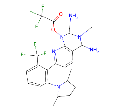 CC1CCC(C)N1c1cccc(C(F)(F)F)c1-c1ccc2c(n1)N(OC(=O)C(F)(F)F)C(N)N(C)C2N